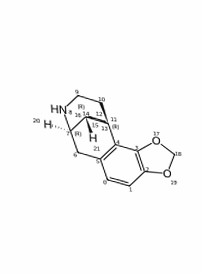 c1cc2c(c3c1C[C@H]1NCC[C@@]34CCCC[C@@H]14)OCO2